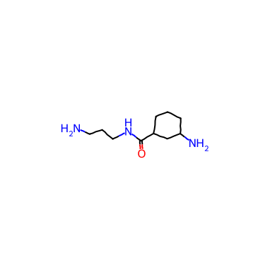 NCCCNC(=O)C1CCCC(N)C1